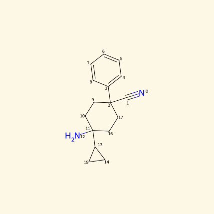 N#CC1(c2ccccc2)CCC(N)(C2CC2)CC1